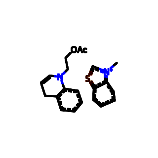 CC(=O)OCCN1C=CCc2ccccc21.C[n+]1csc2ccccc21